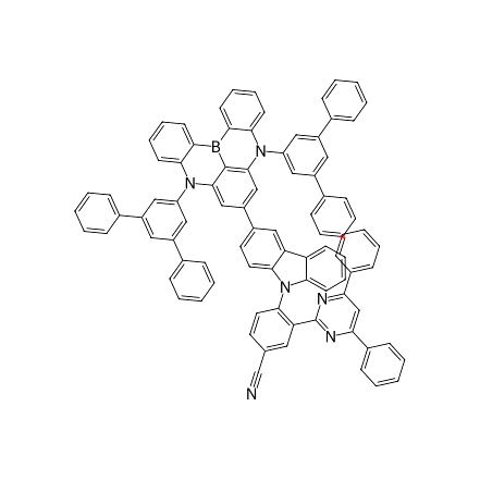 N#Cc1ccc(-n2c3ccccc3c3cc(-c4cc5c6c(c4)N(c4cc(-c7ccccc7)cc(-c7ccccc7)c4)c4ccccc4B6c4ccccc4N5c4cc(-c5ccccc5)cc(-c5ccccc5)c4)ccc32)c(-c2nc(-c3ccccc3)cc(-c3ccccc3)n2)c1